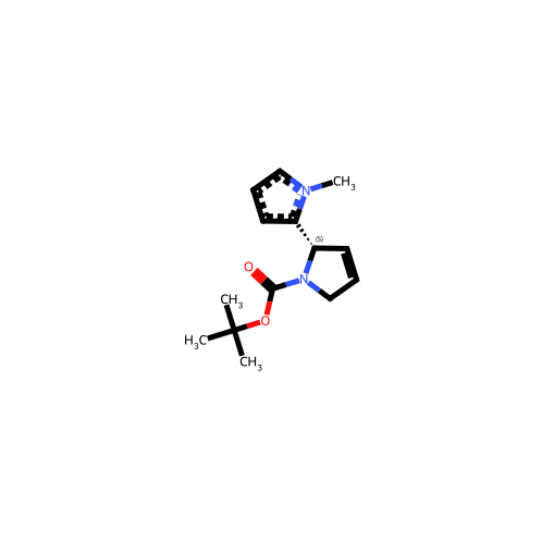 Cn1cccc1[C@@H]1C=CCN1C(=O)OC(C)(C)C